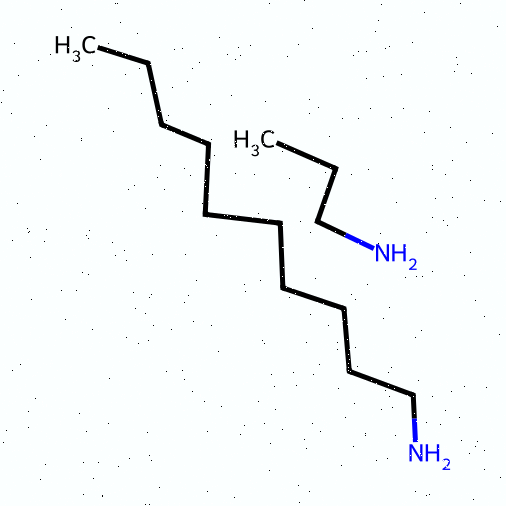 CCCCCCCCCCN.CCCN